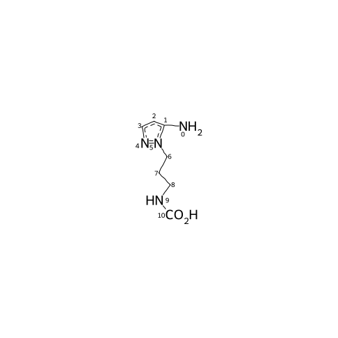 Nc1ccnn1CCCNC(=O)O